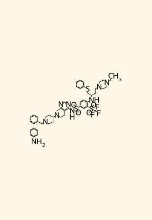 CCN1CCN(CC[C@H](CSc2ccccc2)Nc2ccc(S(=O)(=O)Nc3ncnc4c3CCN(C3CCN(Cc5ccccc5-c5ccc(N)cc5)CC3)C4)cc2S(=O)(=O)C(F)(F)F)CC1